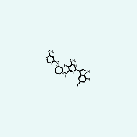 Cc1cc(O[C@@H]2CCC[C@H](Nc3nc(-c4c[nH]c5c(F)cc(F)cc45)nc(C)c3F)C2)ncn1